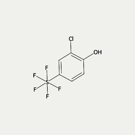 Oc1ccc(S(F)(F)(F)(F)F)cc1Cl